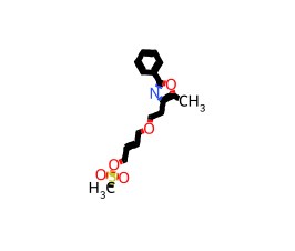 Cc1oc(-c2ccccc2)nc1CCOC/C=C/COS(C)(=O)=O